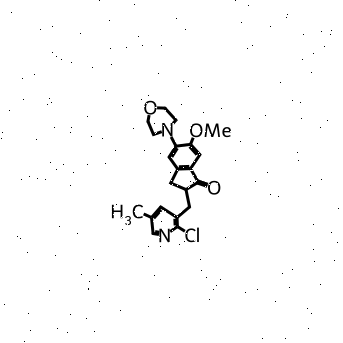 COc1cc2c(cc1N1CCOCC1)CC(Cc1cc(C)cnc1Cl)C2=O